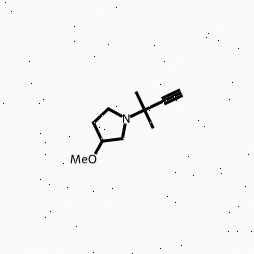 C#CC(C)(C)N1CCC(OC)C1